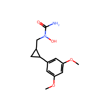 COc1cc(OC)cc(C2CC2CN(O)C(N)=O)c1